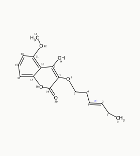 CC/C=C/CCOc1c(O)c2c(OC)cccc2oc1=O